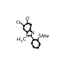 CSc1ccccc1-c1nc2cc(Cl)c(Cl)cc2n1C